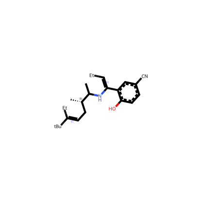 CC/C=C(\NC(C)[C@@H](C)C/C=C(\CC)C(C)(C)C)c1cc(C#N)ccc1O